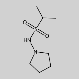 CC(C)S(=O)(=O)NN1CCCC1